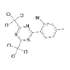 Cc1ccc(-c2nc(C(Cl)(Cl)Cl)nc(C(Cl)(Cl)Cl)n2)c(Br)c1